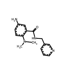 CN(C)c1ccc(N)cc1C(=O)NCc1cccnc1